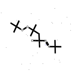 CC(C)(C)/N=N/C(C)(Cl)CC(C)(C)OOC(C)(C)C